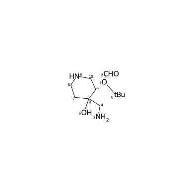 CC(C)(C)OC=O.NCC1(O)CCNCC1